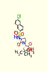 CC(C)(C)C[C@@H](C(=O)O)N1CC[C@H](NS(=O)(=O)c2ccc3cc(Cl)ccc3c2)C1=O